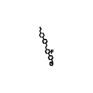 C=CCC1CCC(c2ccc(CCc3ccc(-c4ccc(COC)cc4)c(F)c3)cc2)CC1